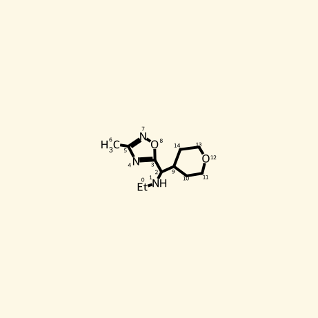 CCNC(c1nc(C)no1)C1CCOCC1